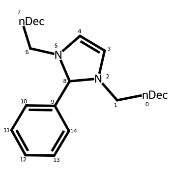 CCCCCCCCCCCN1C=CN(CCCCCCCCCCC)C1c1ccccc1